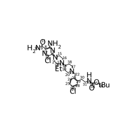 CC[C@H]1CN(c2nc(N)c(C(N)=O)nc2Cl)CCN1C1CCN(Cc2ccc(Cl)cc2CCNC(=O)OC(C)(C)C)CC1